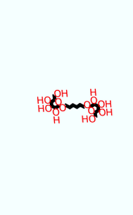 OCC1O[C@H](OCCCCCCO[C@@H]2OC(CO)[C@H](O)[C@@H](O)C2O)C(O)[C@@H](O)[C@@H]1O